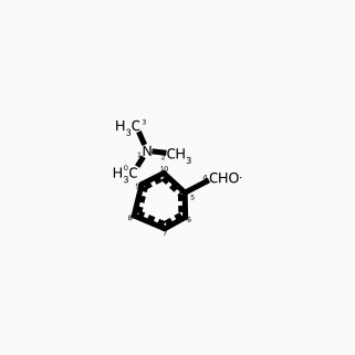 CN(C)C.O=[C]c1ccccc1